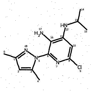 Cc1cc(C)n(-c2nc(Cl)cc(NC(C)C)c2N)n1